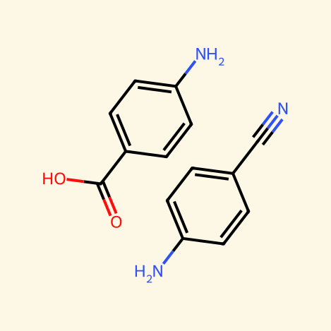 N#Cc1ccc(N)cc1.Nc1ccc(C(=O)O)cc1